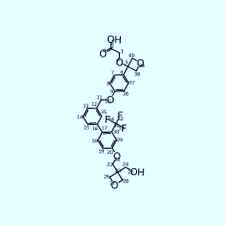 O=C(O)COC1(c2ccc(OCc3cccc(-c4ccc(OCC5(CO)COC5)cc4C(F)(F)F)c3)cc2)COC1